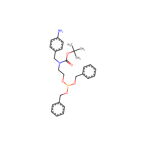 CC(C)(C)OC(=O)N(CCOP(OCc1ccccc1)OCc1ccccc1)Cc1ccc(N)cc1